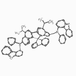 CC(C)c1cc2c(c3ccc(N(c4ccccc4)c4cccc5oc6ccccc6c45)cc13)C1(c3ccccc3-c3ccccc31)c1c-2cc(C(C)C)c2cc(N(c3ccccc3)c3cccc4oc5ccccc5c34)ccc12